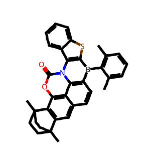 Cc1cccc(C)c1B1c2ccc3cc4c(c5c3c2N(C(=O)O5)c2c1sc1ccccc21)C1(C)CCC4(C)CC1